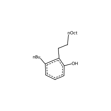 CCCCCCCCCCc1c(O)cccc1CCCC